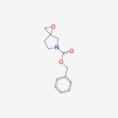 O=C(OCc1ccccc1)N1CCC2(CO2)C1